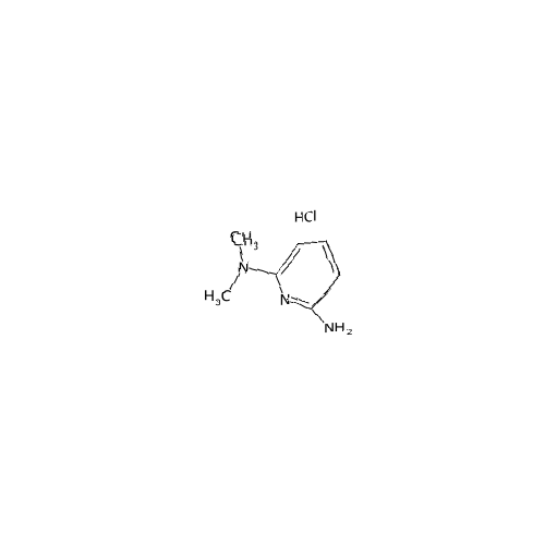 CN(C)c1cccc(N)n1.Cl